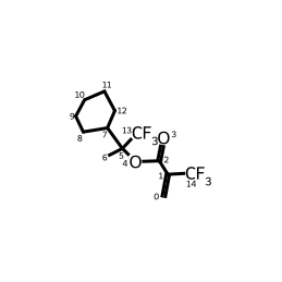 C=C(C(=O)OC(C)(C1CCCCC1)C(F)(F)F)C(F)(F)F